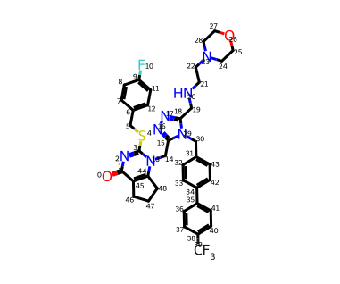 O=c1nc(SCc2ccc(F)cc2)n(Cc2nnc(CNCCN3CCOCC3)n2Cc2ccc(-c3ccc(C(F)(F)F)cc3)cc2)c2c1CCC2